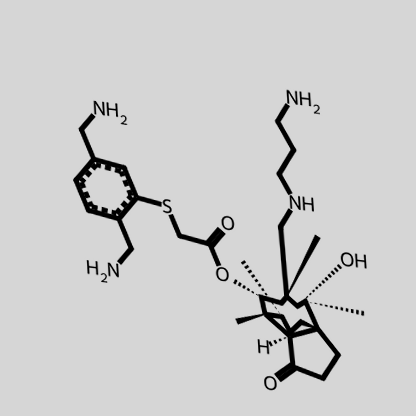 C[C@@H]1CC[C@@]23CCC(=O)[C@H]2[C@]1(C)[C@H](OC(=O)CSc1cc(CN)ccc1CN)C[C@](C)(CNCCCN)[C@@H](O)[C@@H]3C